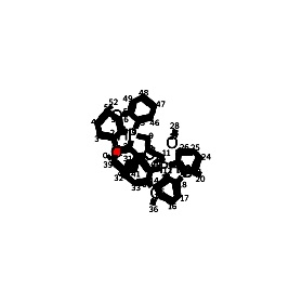 COc1ccccc1[PH](CCC[PH](c1ccccc1OC)(c1ccccc1OC)c1ccccc1OC)(c1ccccc1OC)c1ccccc1OC